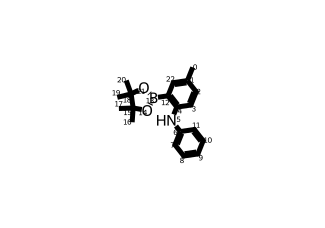 Cc1ccc(Nc2ccccc2)c(B2OC(C)(C)C(C)(C)O2)c1